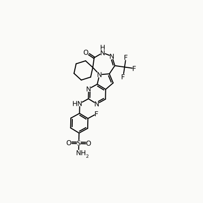 NS(=O)(=O)c1ccc(Nc2ncc3cc4n(c3n2)C2(CCCCC2)C(=O)NN=C4C(F)(F)F)c(F)c1